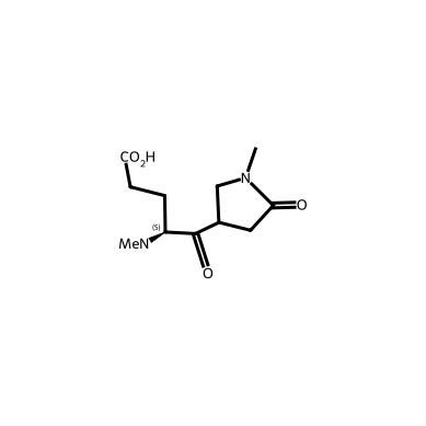 CN[C@@H](CCC(=O)O)C(=O)C1CC(=O)N(C)C1